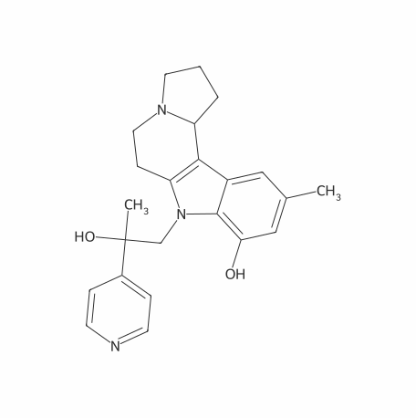 Cc1cc(O)c2c(c1)c1c(n2CC(C)(O)c2ccncc2)CCN2CCCC12